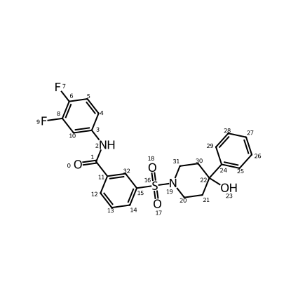 O=C(Nc1ccc(F)c(F)c1)c1cccc(S(=O)(=O)N2CCC(O)(c3ccccc3)CC2)c1